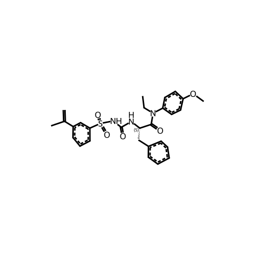 C=C(C)c1cccc(S(=O)(=O)NC(=O)N[C@@H](Cc2ccccc2)C(=O)N(CC)c2ccc(OC)cc2)c1